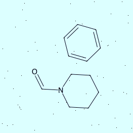 O=CN1CCCCC1.c1ccccc1